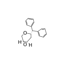 c1ccc(C(c2ccccc2)[C@@H]2C[C@H]3O[C@H]3CO2)cc1